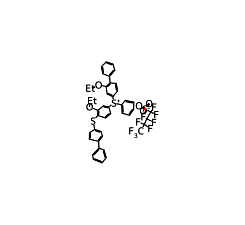 CCOc1cc([S+](c2ccccc2)c2ccc(-c3ccccc3)c(OCC)c2)ccc1Sc1ccc(-c2ccccc2)cc1.O=S(=O)([O-])C(F)(F)C(F)(F)C(F)(F)C(F)(F)F